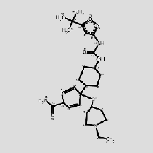 CCN1CCC(OC2(C3CCC(NC(=O)Nc4cc(C(C)(C)C)on4)CC3)C=CC(C(N)=O)N=C2)CC1